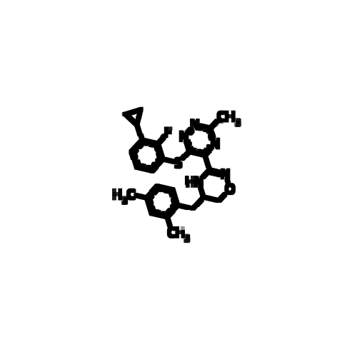 Cc1ccc(CC2CON=C(c3nc(C)nnc3Sc3cccc(C4CC4)c3F)N2)c(C)c1